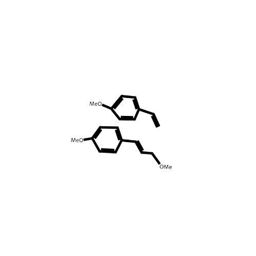 C=Cc1ccc(OC)cc1.COCC=Cc1ccc(OC)cc1